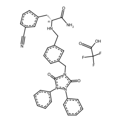 N#Cc1cccc(C[C@@H](NCc2cccc(Cn3c(=O)n(-c4ccccc4)n(-c4ccccc4)c3=O)c2)C(N)=O)c1.O=C(O)C(F)(F)F